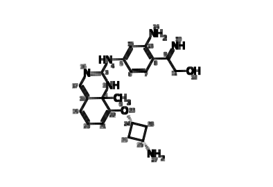 CC12NC(Nc3ccc(C(=N)CO)c(N)c3)=NC=C1C=CC=C2O[C@H]1C[C@@H](N)C1